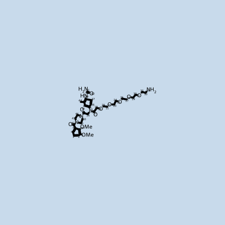 COc1cccc(C(=O)N2CCN(C(=O)CN(C(=O)COCCOCCOCCOCCOCCN)c3ccc(NC(N)=O)c(C)c3)CC2)c1OC